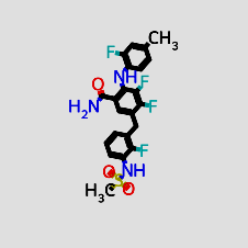 Cc1ccc(Nc2c(C(N)=O)cc(Cc3cccc(NS(C)(=O)=O)c3F)c(F)c2F)c(F)c1